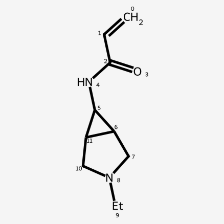 C=CC(=O)NC1C2CN(CC)CC21